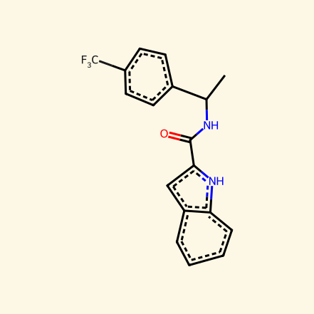 CC(NC(=O)c1cc2ccccc2[nH]1)c1ccc(C(F)(F)F)cc1